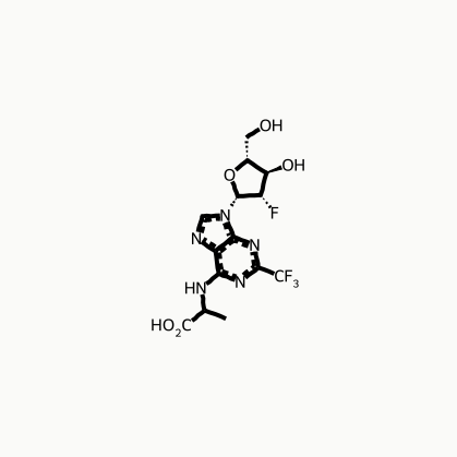 CC(Nc1nc(C(F)(F)F)nc2c1ncn2[C@@H]1O[C@H](CO)[C@@H](O)[C@@H]1F)C(=O)O